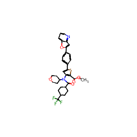 COC(=O)c1sc(-c2ccc(-c3cc4ncccc4o3)cc2)cc1N(C(=O)C1CCC(C(F)(F)F)CC1)C1CCOCC1